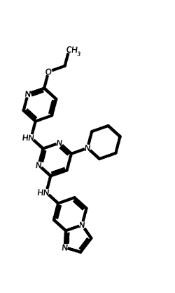 CCOc1ccc(Nc2nc(Nc3ccn4ccnc4c3)cc(N3CCCCC3)n2)cn1